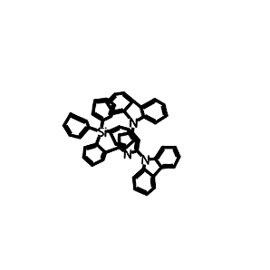 C1=C(n2c3ccccc3c3ccccc32)N=C(c2ccccc2[Si](c2ccccc2)(c2ccccc2)c2ccccc2)CC1n1c2ccccc2c2ccccc21